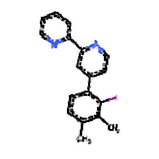 Cc1ccc(-c2ccnc(-c3ccccn3)c2)c(I)c1C